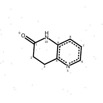 O=C1CCc2ncccc2N1